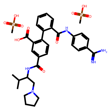 CC(C)C(CN1CCCC1)NC(=O)c1ccc(-c2ccccc2C(=O)Nc2ccc(C(=N)N)cc2)c(C(=O)O)c1.CS(=O)(=O)O.CS(=O)(=O)O